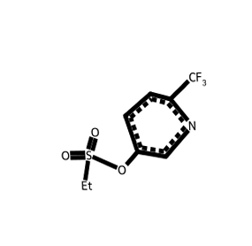 CCS(=O)(=O)Oc1ccc(C(F)(F)F)nc1